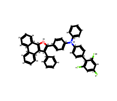 Fc1cc(F)c(-c2ccc(N(c3ccccc3)c3ccc(-c4oc5c6ccccc6c6ccccc6c5c4-c4ccccc4)cc3)cc2)c(F)c1